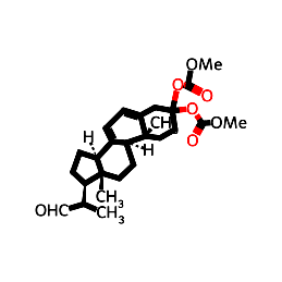 COC(=O)OC1(OC(=O)OC)CC[C@@]2(C)C(=CC=C3[C@@H]4CC[C@H](C(C)C=O)[C@@]4(C)CC[C@@H]32)C1